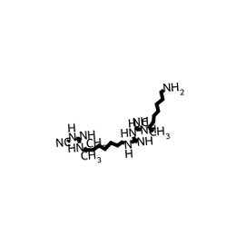 CC(C)(CCCCCCNC(=N)NC(=N)NC(C)(C)CCCCCCN)NC(=N)NC#N